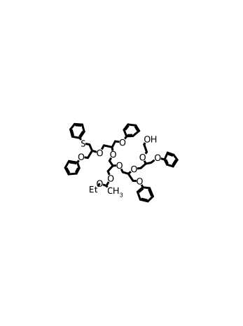 CCOC(C)OCC(COC(COc1ccccc1)COC(COc1ccccc1)CSc1ccccc1)OCC(COc1ccccc1)OCC(COc1ccccc1)OCCO